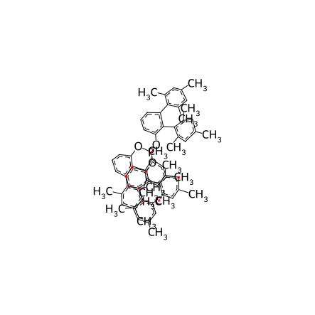 Cc1cc(C)c(-c2cccc(OP(Oc3cccc(-c4c(C)cc(C)cc4C)c3-c3c(C)cc(C)cc3C)Oc3cccc(-c4c(C)cc(C)cc4C)c3-c3c(C)cc(C)cc3C)c2-c2c(C)cc(C)cc2C)c(C)c1